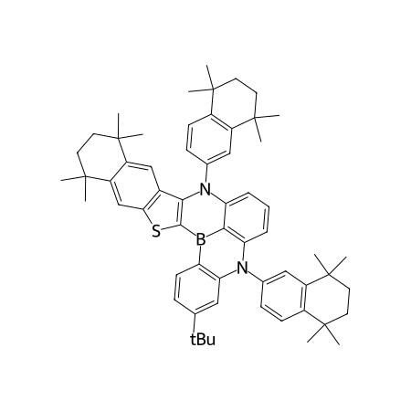 CC(C)(C)c1ccc2c(c1)N(c1ccc3c(c1)C(C)(C)CCC3(C)C)c1cccc3c1B2c1sc2cc4c(cc2c1N3c1ccc2c(c1)C(C)(C)CCC2(C)C)C(C)(C)CCC4(C)C